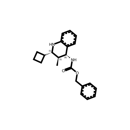 C[C@@H]1[C@@H](NC(=O)OCc2ccccc2)c2ccccc2N[C@H]1C1CCC1